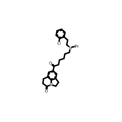 CC(C)N(CCCCCC(=O)c1cc2c3c(c1)CCN3C(=O)CC2)CCc1ccccc1Cl